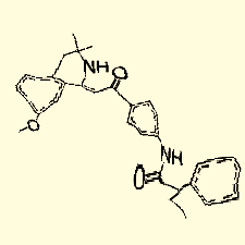 CCC(C(=O)Nc1ccc(C(=O)C=C2NC(C)(C)Cc3ccc(OC)cc32)cc1)c1ccccc1